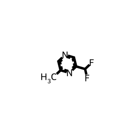 Cc1cncc(C(F)F)n1